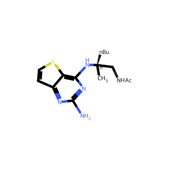 CCCC[C@](C)(CNC(C)=O)Nc1nc(N)nc2ccsc12